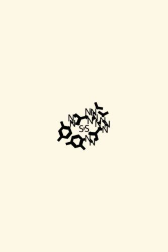 Cc1ccc(-n2ncc(-c3nnn(C(C)C)n3)c2SSc2c(-c3nnn(C(C)C)n3)cnn2-c2ccc(C)cc2C)c(C)c1